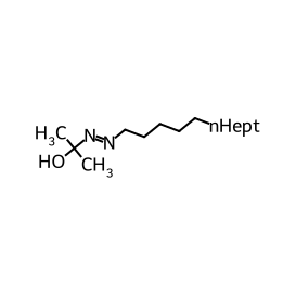 CCCCCCCCCCCC/N=N/C(C)(C)O